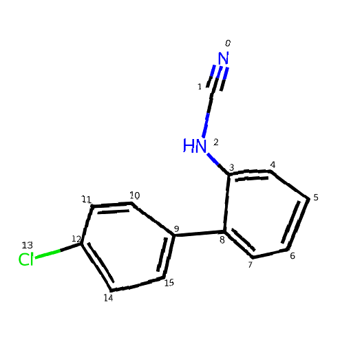 N#CNc1ccccc1-c1ccc(Cl)cc1